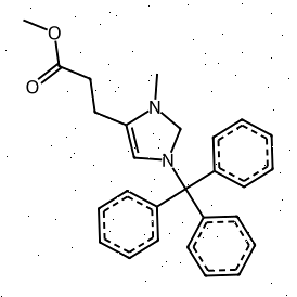 COC(=O)CCC1=CN(C(c2ccccc2)(c2ccccc2)c2ccccc2)CN1C